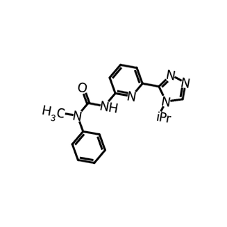 CC(C)n1cnnc1-c1cccc(NC(=O)N(C)c2ccccc2)n1